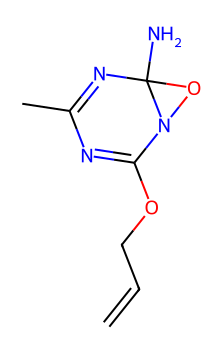 C=CCOC1=NC(C)=NC2(N)ON12